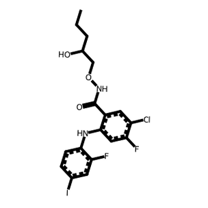 CCCC(O)CONC(=O)c1cc(Cl)c(F)cc1Nc1ccc(I)cc1F